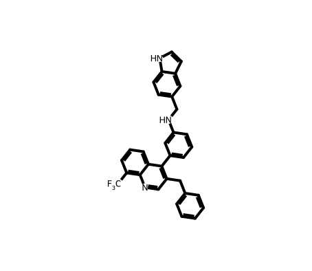 FC(F)(F)c1cccc2c(-c3cccc(NCc4ccc5[nH]ccc5c4)c3)c(Cc3ccccc3)cnc12